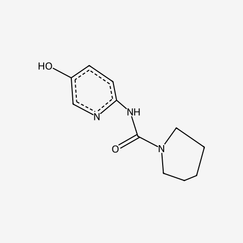 O=C(Nc1ccc(O)cn1)N1CCCCC1